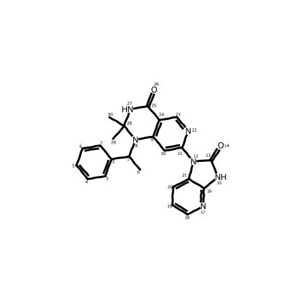 CC(c1ccccc1)N1c2cc(-n3c(=O)[nH]c4ncccc43)ncc2C(=O)NC1(C)C